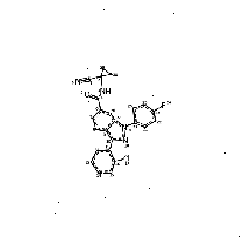 N#CC1(NC(=O)c2ccc3c(-c4ccccc4Cl)nn(-c4ccc(F)cc4)c3c2)CC1